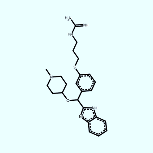 CN1CCC(OC(c2cccc(SCCCNC(=N)N)c2)c2nc3ccccc3[nH]2)CC1